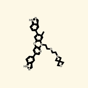 Cc1cc2c(cc1-c1ccc3[nH]ncc3c1)Oc1cc(-c3ccc4[nH]ncc4c3)cnc1N2CCOCCN1CC2(COC2)C1